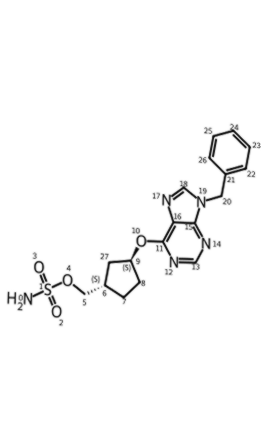 NS(=O)(=O)OC[C@H]1CC[C@H](Oc2ncnc3c2ncn3Cc2ccccc2)C1